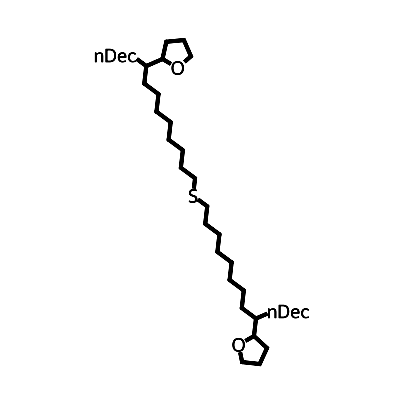 CCCCCCCCCCC(CCCCCCCCSCCCCCCCCC(CCCCCCCCCC)C1CCCO1)C1CCCO1